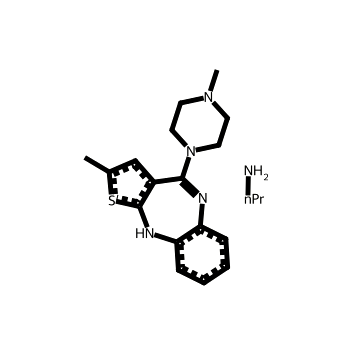 CCCN.Cc1cc2c(s1)Nc1ccccc1N=C2N1CCN(C)CC1